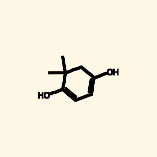 CC1(C)CC(O)=CC=C1O